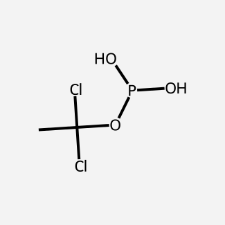 CC(Cl)(Cl)OP(O)O